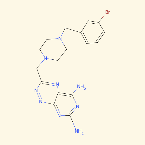 Nc1nc(N)c2nc(CN3CCN(Cc4cccc(Br)c4)CC3)nnc2n1